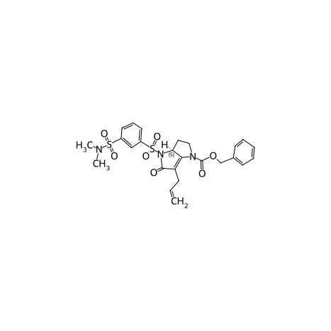 C=CCC1=C2[C@H](CCN2C(=O)OCc2ccccc2)N(S(=O)(=O)c2cccc(S(=O)(=O)N(C)C)c2)C1=O